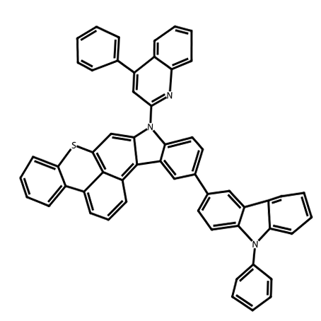 c1ccc(-c2cc(-n3c4ccc(-c5ccc6c(c5)c5ccccc5n6-c5ccccc5)cc4c4c5cccc6c5c(cc43)Sc3ccccc3-6)nc3ccccc23)cc1